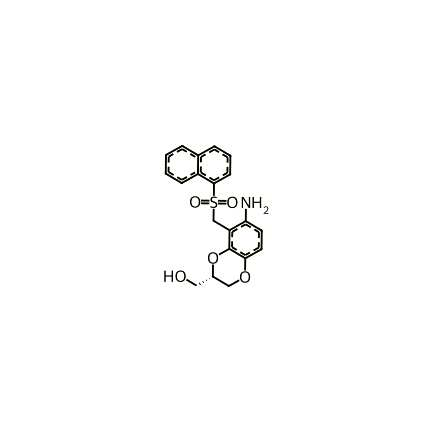 Nc1ccc2c(c1CS(=O)(=O)c1cccc3ccccc13)O[C@@H](CO)CO2